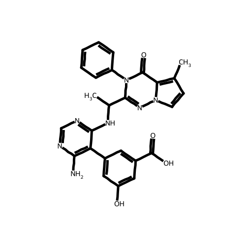 Cc1ccn2nc(C(C)Nc3ncnc(N)c3-c3cc(O)cc(C(=O)O)c3)n(-c3ccccc3)c(=O)c12